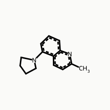 Cc1ccc2c(N3CCCC3)cccc2n1